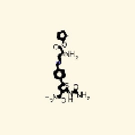 NC(=O)Nc1sc(-c2ccc(/C=C/C[C@@H](N)C(=O)OC3CCCC3)cc2)cc1C(N)=O